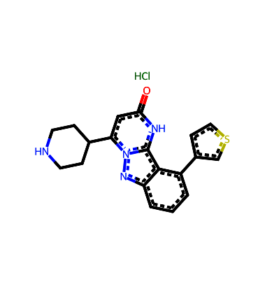 Cl.O=c1cc(C2CCNCC2)n2nc3cccc(-c4ccsc4)c3c2[nH]1